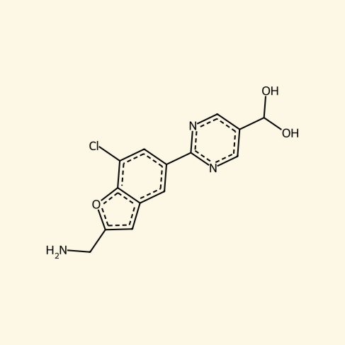 NCc1cc2cc(-c3ncc(C(O)O)cn3)cc(Cl)c2o1